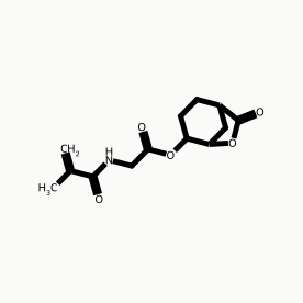 C=C(C)C(=O)NCC(=O)OC1CCC2CC1OC2=O